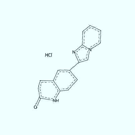 Cl.O=c1ccc2cc(-c3cn4ccccc4n3)ccc2[nH]1